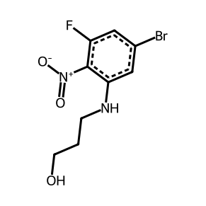 O=[N+]([O-])c1c(F)cc(Br)cc1NCCCO